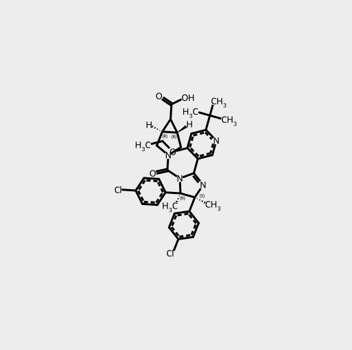 CCOc1cc(C(C)(C)C)ncc1C1=N[C@@](C)(c2ccc(Cl)cc2)[C@@](C)(c2ccc(Cl)cc2)N1C(=O)N1C[C@H]2C(C(=O)O)[C@@H]2C1